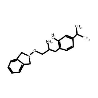 Cc1cc(C(C)C)ccc1CC(N)CON1Cc2ccccc2C1